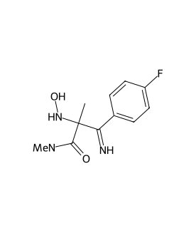 CNC(=O)C(C)(NO)C(=N)c1ccc(F)cc1